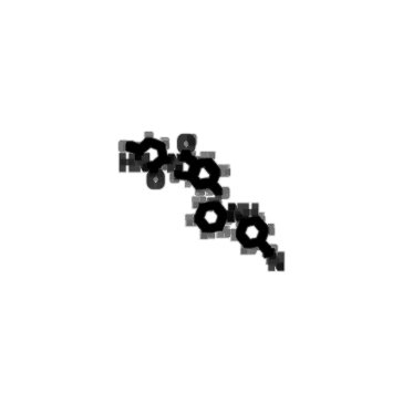 C=C1CCC(N2Cc3cc(C[C@H]4CCCC[C@@H]4NC4CCC(C#N)CC4)ccc3C2=O)C(=O)N1